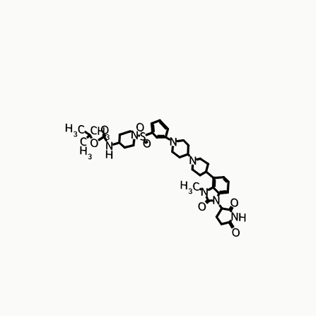 Cn1c(=O)n(C2CCC(=O)NC2=O)c2cccc(C3CCN(C4CCN(c5cccc(S(=O)(=O)N6CCC(NC(=O)OC(C)(C)C)CC6)c5)CC4)CC3)c21